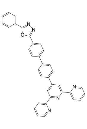 c1ccc(-c2nnc(-c3ccc(-c4ccc(-c5cc(-c6ccccn6)nc(-c6ccccn6)c5)cc4)cc3)o2)cc1